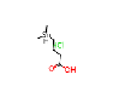 Cl.[CH3][SnH]([CH3])[CH2]CCC(=O)O